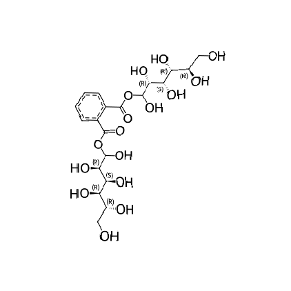 O=C(OC(O)[C@H](O)[C@@H](O)[C@H](O)[C@H](O)CO)c1ccccc1C(=O)OC(O)[C@H](O)[C@@H](O)[C@H](O)[C@H](O)CO